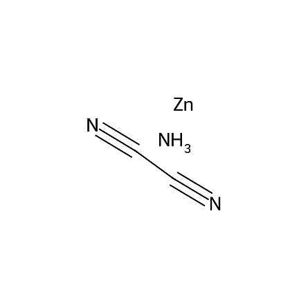 N.N#CC#N.[Zn]